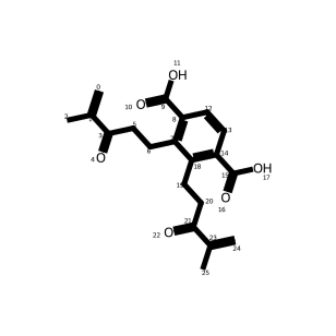 C=C(C)C(=O)CCc1c(C(=O)O)ccc(C(=O)O)c1CCC(=O)C(=C)C